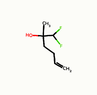 C=CCCC(C)(O)C(F)F